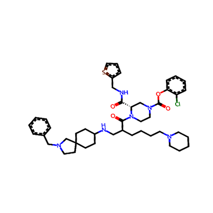 O=C(NCc1cccs1)[C@@H]1CN(C(=O)Oc2ccccc2Cl)CCN1C(=O)C(CCCCN1CCCCC1)CNC1CCC2(CC1)CCN(Cc1ccccc1)C2